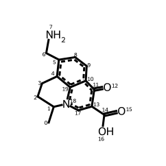 CC1CCc2c(CN)ccc3c(=O)c(C(=O)O)cn1c23